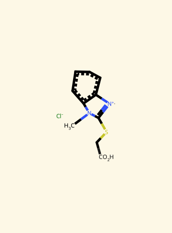 CN1C(SCC(=O)O)=[N+]c2ccccc21.[Cl-]